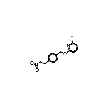 O=[N+]([O-])CCc1ccc(COc2cccc(F)n2)cc1